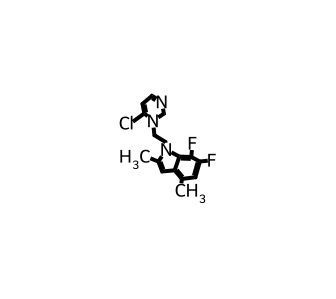 Cc1cc(F)c(F)c2c1cc(C)n2CCN1CN=CC=C1Cl